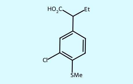 CCC(C(=O)O)c1ccc(SC)c(Cl)c1